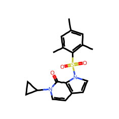 Cc1cc(C)c(S(=O)(=O)n2ccc3ccn(C4CC4)c(=O)c32)c(C)c1